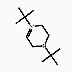 CC(C)(C)N1CC=[N+](C(C)(C)C)CC1